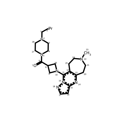 CC(C)CN1CCN(C(=O)C2CN(c3c4c(nc5ccnn35)CCN(C)CC4)C2)CC1